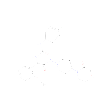 COc1ccccc1C(NC(=O)Nc1ccc(Cl)cc1)C(=O)NN1CCC(N2CCOCC2=O)CC1